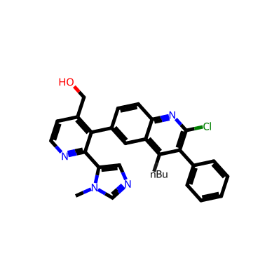 CCCCc1c(-c2ccccc2)c(Cl)nc2ccc(-c3c(CO)ccnc3-c3cncn3C)cc12